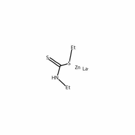 CCNC(=S)SCC.[La].[Zn]